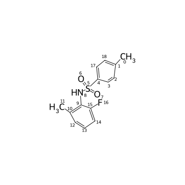 Cc1ccc(S(=O)(=O)Nc2c(C)cccc2F)cc1